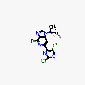 CC(C)n1cnc2c(F)nc(-c3nc(Cl)ncc3Cl)cc21